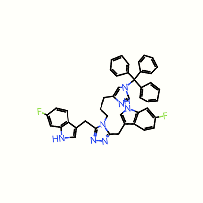 Fc1ccc2c(Cc3nnc(Cc4c[nH]c5cc(F)ccc45)n3CCCc3cn(C(c4ccccc4)(c4ccccc4)c4ccccc4)cn3)c[nH]c2c1